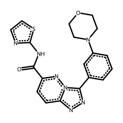 O=C(Nc1nccs1)c1ccc2nnc(-c3cccc(N4CCOCC4)c3)n2n1